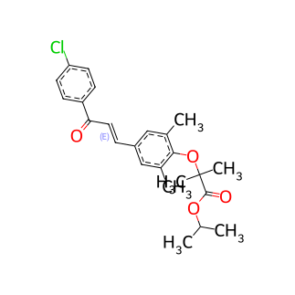 Cc1cc(/C=C/C(=O)c2ccc(Cl)cc2)cc(C)c1OC(C)(C)C(=O)OC(C)C